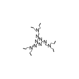 C=CCN(C=Nc1nc(N=CN(CC=C)CC=C)nc(N=CN(CC=C)CC=C)n1)CC=C